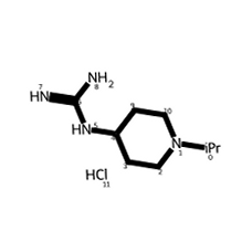 CC(C)N1CCC(NC(=N)N)CC1.Cl